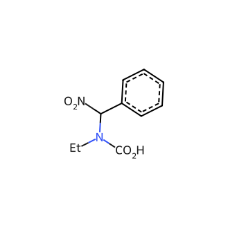 CCN(C(=O)O)C(c1ccccc1)[N+](=O)[O-]